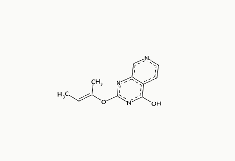 C/C=C(\C)Oc1nc(O)c2ccncc2n1